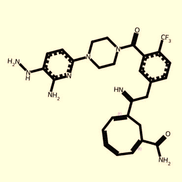 N=C(Cc1ccc(C(F)(F)F)c(C(=O)N2CCN(c3ccc(NN)c(N)n3)CC2)c1)/C1=C/C=C=C/C=C(/C(N)=O)C1